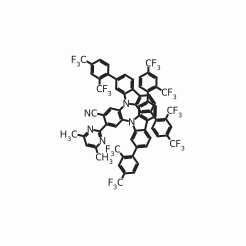 Cc1cc(C)nc(-c2cc(-n3c4cc(-c5ccc(C(F)(F)F)cc5C(F)(F)F)ccc4c4ccc(-c5ccc(C(F)(F)F)cc5C(F)(F)F)cc43)c(-n3c4cc(-c5ccc(C(F)(F)F)cc5C(F)(F)F)ccc4c4ccc(-c5ccc(C(F)(F)F)cc5C(F)(F)F)cc43)cc2C#N)n1